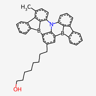 Cc1ccc2c3c1-c1ccccc1B3c1cc(CCCCCCCCO)cc3c1N2c1cccc2c1B3c1ccccc1-2